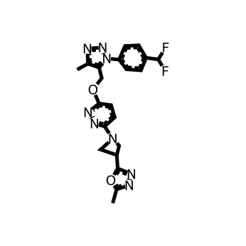 Cc1nnc(C2CN(c3ccc(OCc4c(C)nnn4-c4ccc(C(F)F)cc4)nn3)C2)o1